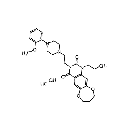 CCCn1c(=O)n(CCN2CCN(c3ccccc3OC)CC2)c(=O)c2cc3c(cc21)OCCCO3.Cl.Cl